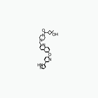 CC1(O)CC(C(=O)N2CCN(Cc3ccc4cc(Oc5ccc(-c6ccn[nH]6)cn5)ccc4n3)CC2)C1